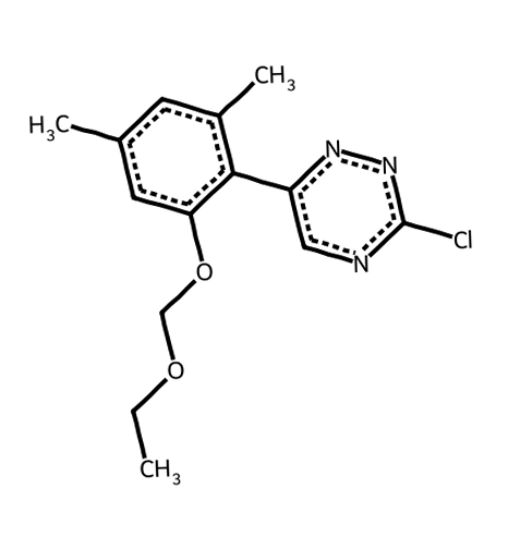 CCOCOc1cc(C)cc(C)c1-c1cnc(Cl)nn1